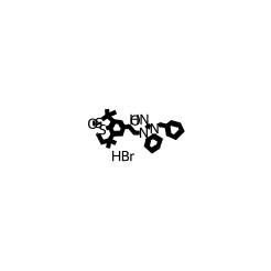 Br.CC(C)(C)c1cc(C(=O)Cn2c(=N)n(Cc3ccccc3)c3ccccc32)cc2c1S(=S=O)CCC2(C)C